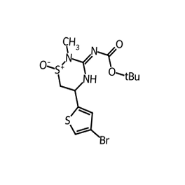 CN1C(=NC(=O)OC(C)(C)C)NC(c2cc(Br)cs2)C[S+]1[O-]